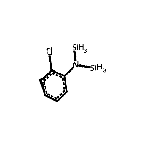 [SiH3]N([SiH3])c1ccccc1Cl